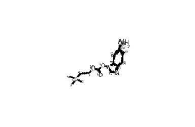 CS(C)(C)CCOC(=O)On1cnc2ccc(N)cc21